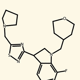 Fc1cccc2c1N(CC1CCOCC1)CC2c1nsc(CN2CCCC2)n1